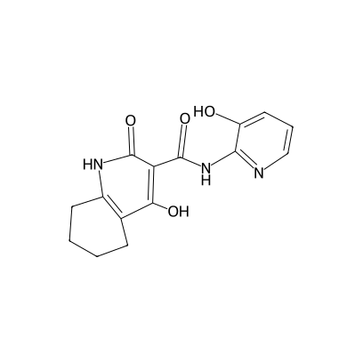 O=C(Nc1ncccc1O)c1c(O)c2c([nH]c1=O)CCCC2